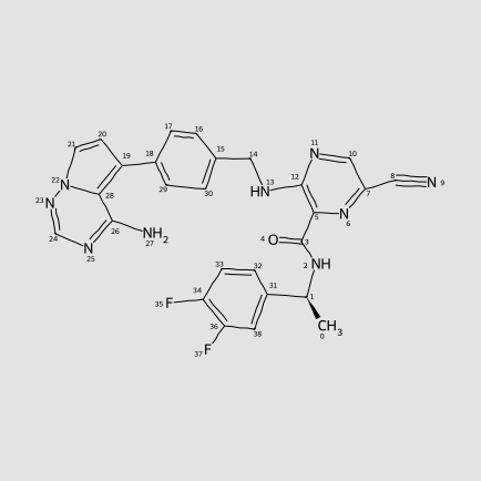 C[C@H](NC(=O)c1nc(C#N)cnc1NCc1ccc(-c2ccn3ncnc(N)c23)cc1)c1ccc(F)c(F)c1